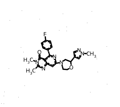 Cc1nc2cc(N3CCOC(c4cnn(C)c4)C3)nc(-c3ccc(F)cc3)c2c(=O)n1C